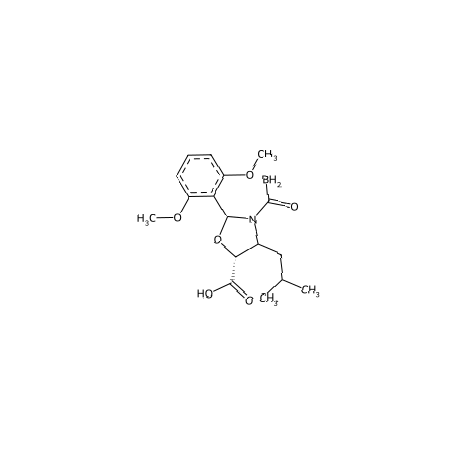 BC(=O)N1C(c2c(OC)cccc2OC)O[C@@H](C(=O)O)C1CC(C)C